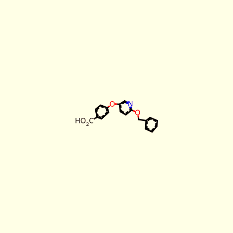 O=C(O)c1ccc(Oc2ccc(OCc3ccccc3)nc2)cc1